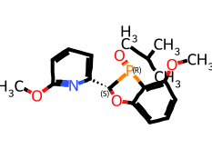 COc1cccc([C@H]2Oc3cccc(OC)c3[P@]2(=O)C(C)(C)C)n1